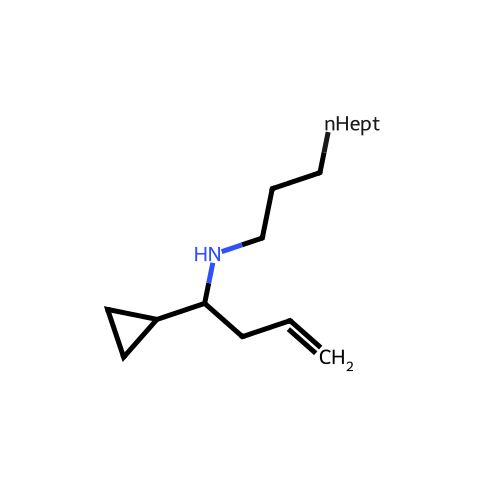 C=CCC(NCCCCCCCCCC)C1CC1